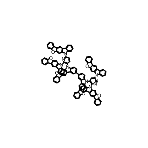 c1ccc2c(c1)oc1cc3c(cc12)c1ccccc1n3-c1cc(-n2c3ccc(-c4ccc5c(c4)c4cc6c(cc4n5-c4ccc(-n5c7ccccc7c7cc8c(cc75)oc5ccccc58)nc4-n4c5ccccc5c5cc7c(cc54)oc4ccccc47)oc4ccccc46)cc3c3cc4c(cc32)oc2ccccc24)c(-n2c3ccccc3c3cc4c(cc32)oc2ccccc24)nn1